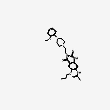 CCCOc1cc2c(=O)n(CCN3CCN(c4ccccc4OC)CC3)c(=O)[nH]c2cc1NC(C)=O